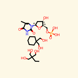 CCC(CO)(CO)CO.Cc1cn([C@H]2C[C@H](O)[C@@H](COP(=O)(O)O)O2)c(=O)[nH]c1=O.OCC1(CO)CCCCC1